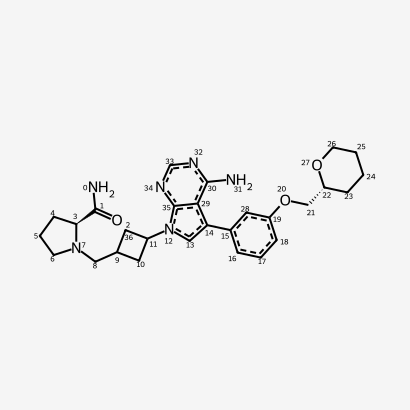 NC(=O)[C@@H]1CCCN1CC1CC(n2cc(-c3cccc(OC[C@H]4CCCCO4)c3)c3c(N)ncnc32)C1